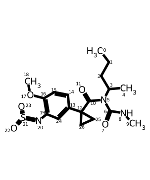 CCCC(C)N(C(=O)NC)C(=O)C1(c2ccc(OC)c(N=S(=O)=O)c2)CC1